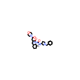 N#CN(C(=O)NC(=O)C(CC(=O)N1CCOCC1)CC1CCCCC1)C1CCN(Cc2ccccc2)C1